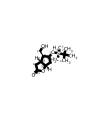 CC(C)(C)[Si](C)(C)OC1C[C@@H]2OC(=O)C[C@@H]2[C@H]1CO